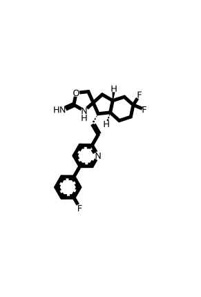 N=C1NC2(CO1)C[C@@H]1CC(F)(F)CC[C@H]1[C@@H]2C=Cc1ccc(-c2cccc(F)c2)cn1